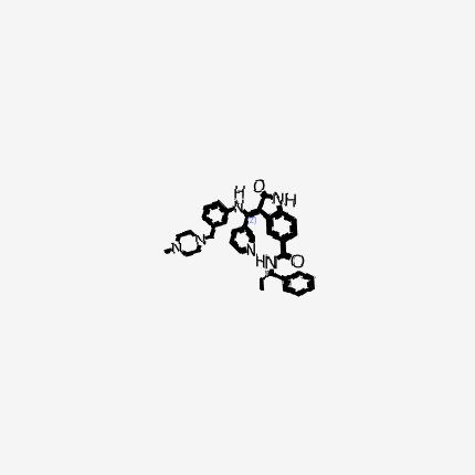 CC[C@@H](NC(=O)c1ccc2c(c1)/C(=C(/Nc1cccc(CN3CCN(C)CC3)c1)c1cccnc1)C(=O)N2)c1ccccc1